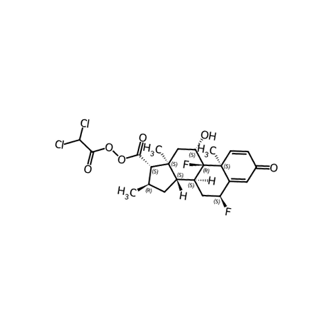 C[C@@H]1C[C@H]2[C@@H]3C[C@H](F)C4=CC(=O)C=C[C@]4(C)[C@@]3(F)[C@@H](O)C[C@]2(C)[C@H]1C(=O)OOC(=O)C(Cl)Cl